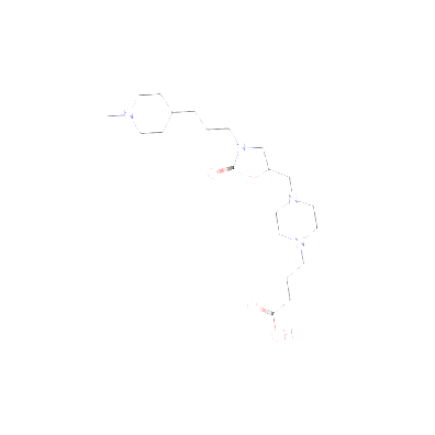 CN1CCC(CCCN2CC(CN3CCN(CCCC(=O)O)CC3)OC2=O)CC1